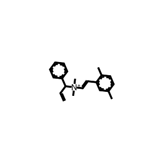 C=CC(c1ccccc1)[N+](C)(C)C=Cc1cc(C)ccc1C